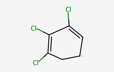 ClC1=C[CH]CC(Cl)=C1Cl